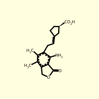 Cc1c(C)c2c(c(N)c1CC=C1CC[C@@H](C(=O)O)C1)C(=O)OC2